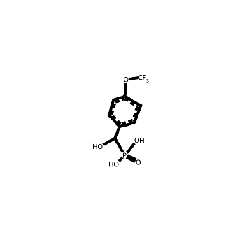 O=P(O)(O)C(O)c1ccc(OC(F)(F)F)cc1